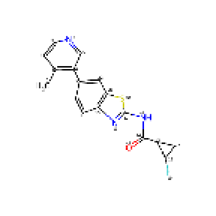 Cc1ccncc1-c1ccc2nc(NC(=O)C3CC3F)sc2c1